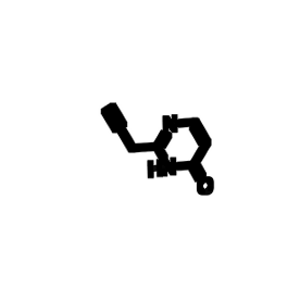 C#CCc1nccc(=O)[nH]1